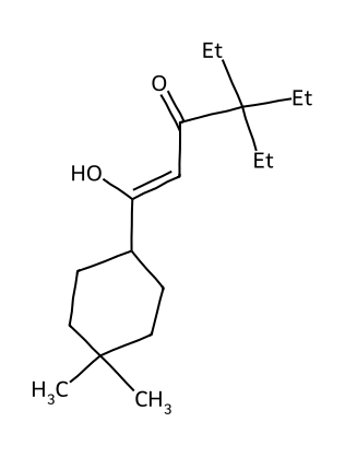 CCC(CC)(CC)C(=O)/C=C(\O)C1CCC(C)(C)CC1